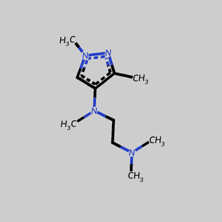 Cc1nn(C)cc1N(C)CCN(C)C